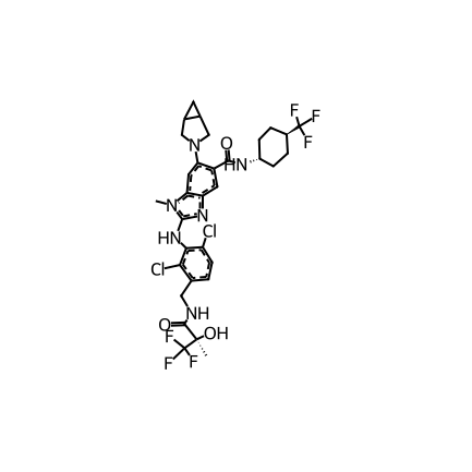 Cn1c(Nc2c(Cl)ccc(CNC(=O)[C@@](C)(O)C(F)(F)F)c2Cl)nc2cc(C(=O)N[C@H]3CC[C@H](C(F)(F)F)CC3)c(N3CC4CC4C3)cc21